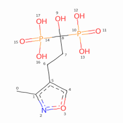 Cc1nocc1CCC(O)(P(=O)(O)O)P(=O)(O)O